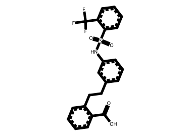 O=C(O)c1ccccc1CCc1cccc(NS(=O)(=O)c2ccccc2C(F)(F)F)c1